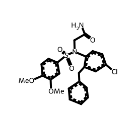 COc1ccc(S(=O)(=O)N(CC(N)=O)c2ccc(Cl)cc2Cc2ccccc2)cc1OC